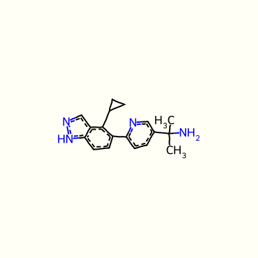 CC(C)(N)c1ccc(-c2ccc3[nH]ncc3c2C2CC2)nc1